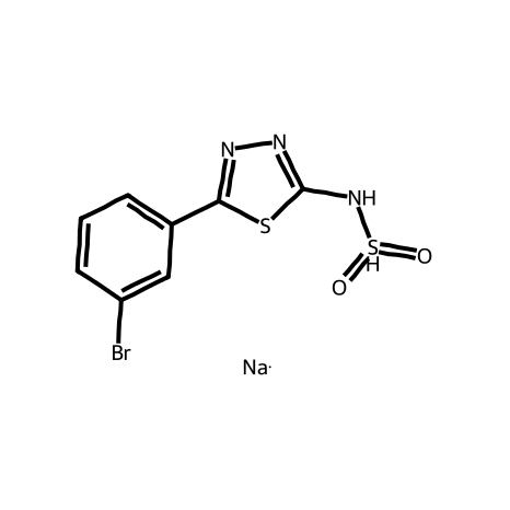 O=[SH](=O)Nc1nnc(-c2cccc(Br)c2)s1.[Na]